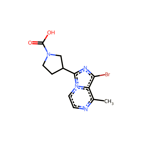 Cc1nccn2c(C3CCN(C(=O)O)C3)nc(Br)c12